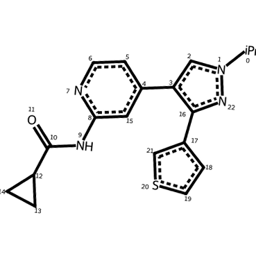 CC(C)n1cc(-c2ccnc(NC(=O)C3CC3)c2)c(-c2ccsc2)n1